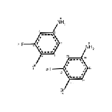 Nc1ccc(Br)c(F)c1.Nc1ccc(Br)c(F)c1